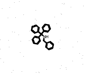 c1ccc(CNC(c2ccccc2)(c2ccccc2)c2ccccc2)cc1